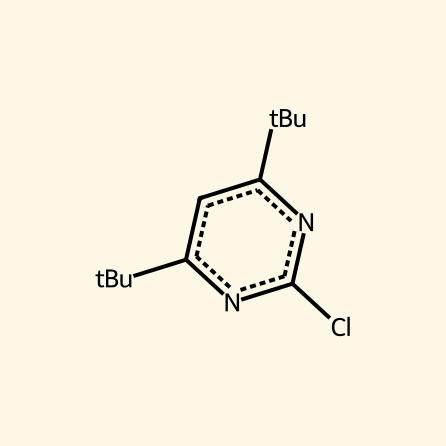 CC(C)(C)c1cc(C(C)(C)C)nc(Cl)n1